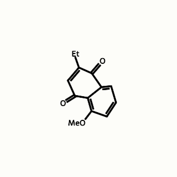 CCC1=CC(=O)c2c(OC)cccc2C1=O